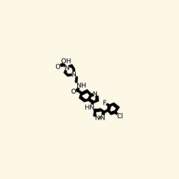 O=C(NCCN1CCN(C(=O)O)CC1)c1ccc2c(Nc3cnnc(-c4cc(Cl)ccc4F)c3)ccnc2c1